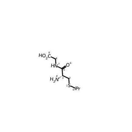 CC(C)SC[C@H](N)C(=O)NCC(=O)O